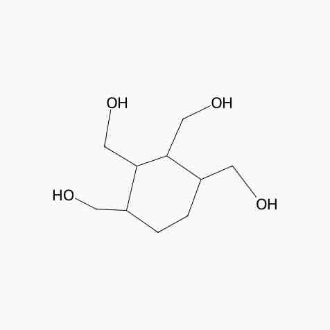 OCC1CCC(CO)C(CO)C1CO